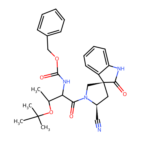 CC(OC(C)(C)C)C(NC(=O)OCc1ccccc1)C(=O)N1C[C@]2(C[C@H]1C#N)C(=O)Nc1ccccc12